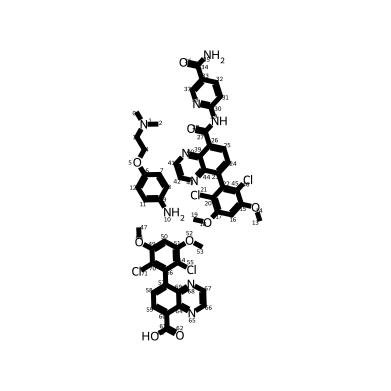 CN(C)CCOc1ccc(N)cc1.COc1cc(OC)c(Cl)c(-c2ccc(C(=O)Nc3ccc(C(N)=O)cn3)c3nccnc23)c1Cl.COc1cc(OC)c(Cl)c(-c2ccc(C(=O)O)c3nccnc23)c1Cl